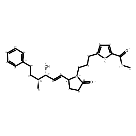 COC(=O)c1ccc(CCCN2C(=O)CCC2C=C[C@@H](O)[C@@H](C)CCc2ccccc2)s1